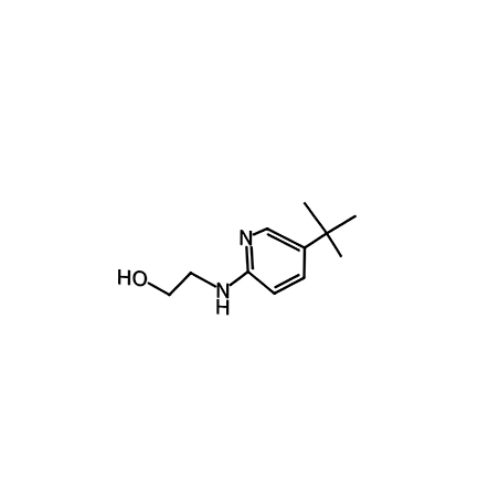 CC(C)(C)c1ccc(NCCO)nc1